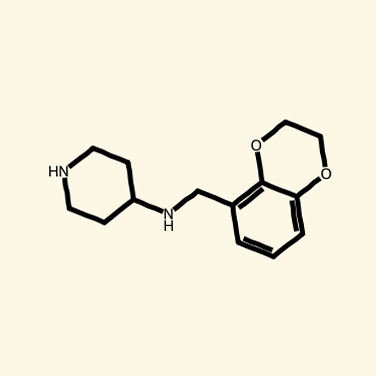 c1cc(CNC2CCNCC2)c2c(c1)OCCO2